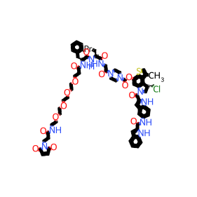 Cc1csc2c(OC(=O)N3CCN(C(=O)CNC(=O)[C@H](CC(C)C)NC(=O)[C@H](Cc4ccccc4)NC(=O)CCOCCOCCOCCOCCNC(=O)CCN4C(=O)C=CC4=O)CC3)cc3c(c12)[C@H](CCl)CN3C(=O)c1cc2cc(NC(=O)c3cc4ccccc4[nH]3)ccc2[nH]1